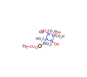 CCOCCOCCOc1ccc(CCC[C@@H](C(=O)O)N2CCN([C@@H](CO)C(=O)O)CCN([C@@H](CO)C(=O)O)CCN([C@@H](CO)C(=O)O)CC2)cc1.[Gd]